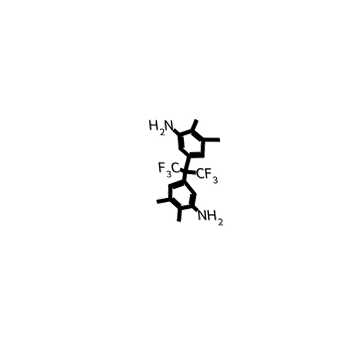 Cc1cc(C(c2cc(C)c(C)c(N)c2)(C(F)(F)F)C(F)(F)F)cc(N)c1C